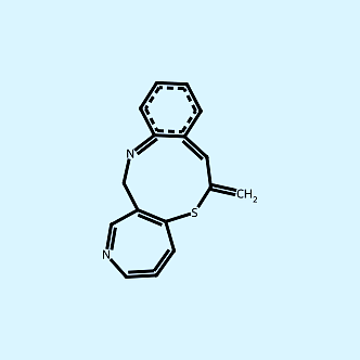 C=C1/C=c2/cccc/c2=N/CC2=C(C=C=CN=C2)S1